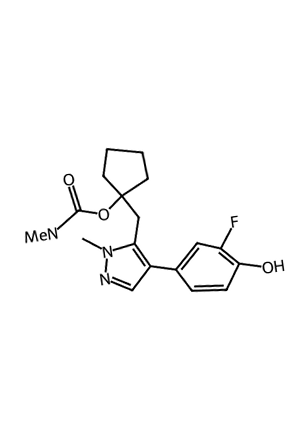 CNC(=O)OC1(Cc2c(-c3ccc(O)c(F)c3)cnn2C)CCCC1